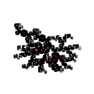 CCCOC(COC(COC(COC(COC(=O)c1ccc(C(=O)OC(C)COC(=O)c2ccc(C(=O)OCC)cc2)cc1)OCC(OCC(OCC(OCC)OCC)OCC(OCC)OCC)OCC(OCC(OCC)OCC)OCC(OCC)OCC)OCC(OCC(OCC(OCC)OCC)OCC(OCC)OCC)OCC(OCC(OCC)OCC)OCC(OCC)OCC)OCC(OCC)OCC)OCC(O)OCC